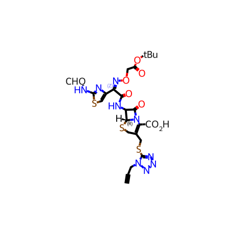 C#CCn1nnnc1SCC1=C(C(=O)O)N2C(=O)C(NC(=O)/C(=N\OCC(=O)OC(C)(C)C)c3csc(NC=O)n3)[C@H]2SC1